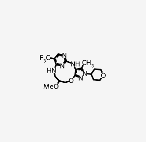 COC1CNc2nc(ncc2C(F)(F)F)Nc2c(nn(C3CCOCC3)c2C)OC1